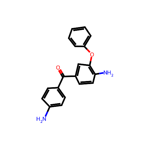 Nc1ccc(C(=O)c2ccc(N)c(Oc3ccccc3)c2)cc1